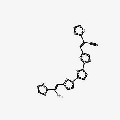 N#C/C(=C\c1ccc(-c2ccc(-c3ccc(/C=C(\N)c4nccs4)s3)s2)s1)c1nccs1